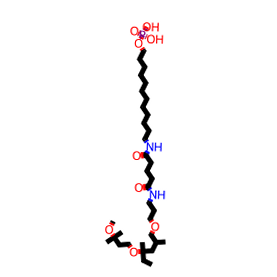 CCC(C)(CC(C)COCCCNC(=O)CCCC(=O)NCCCCCCCCCCCCOP(=O)(O)O)OCCC(C)(C)OC